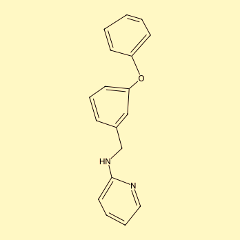 c1ccc(Oc2cccc(CNc3ccccn3)c2)cc1